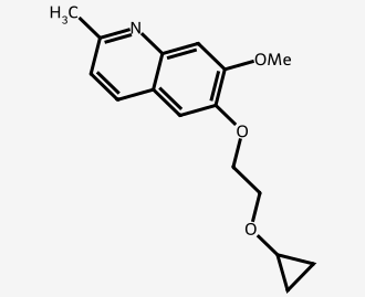 COc1cc2nc(C)ccc2cc1OCCOC1CC1